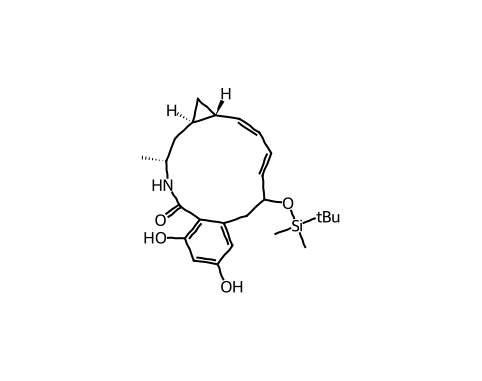 C[C@@H]1C[C@H]2C[C@@H]2/C=C\C=C\C(O[Si](C)(C)C(C)(C)C)Cc2cc(O)cc(O)c2C(=O)N1